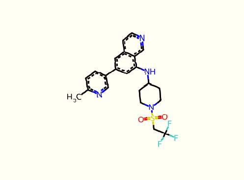 Cc1ccc(-c2cc(NC3CCN(S(=O)(=O)CC(F)(F)F)CC3)c3cnccc3c2)cn1